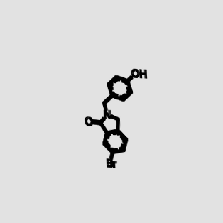 O=C1c2cc(Br)ccc2CN1Cc1ccc(O)cc1